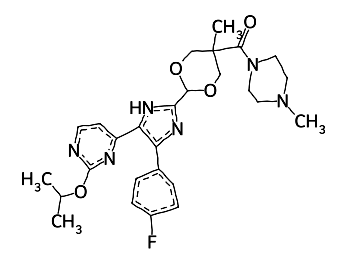 CC(C)Oc1nccc(-c2[nH]c(C3OCC(C)(C(=O)N4CCN(C)CC4)CO3)nc2-c2ccc(F)cc2)n1